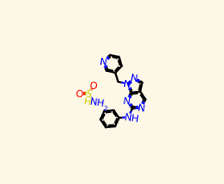 N[SH](=O)=O.c1ccc(Nc2ncc3cnn(Cc4cccnc4)c3n2)cc1